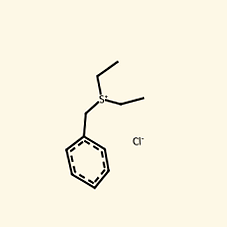 CC[S+](CC)Cc1ccccc1.[Cl-]